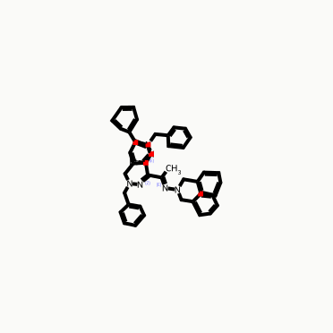 CCC(=N\N(Cc1ccccc1)Cc1ccccc1)/C(=N\N(Cc1ccccc1)Cc1ccccc1)C(/C)=N/N(Cc1ccccc1)Cc1ccccc1